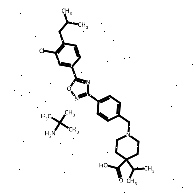 CC(C)(C)N.CC(C)Cc1ccc(-c2nc(-c3ccc(CN4CCC(C(=O)O)(C(C)C)CC4)cc3)no2)cc1Cl